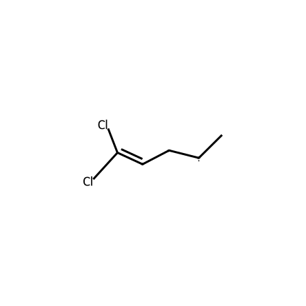 C[CH]CC=C(Cl)Cl